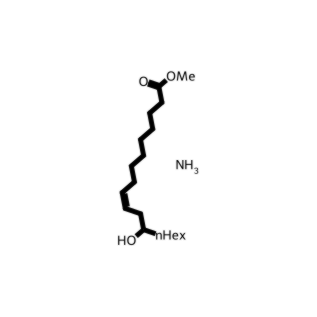 CCCCCCC(O)C/C=C\CCCCCCCC(=O)OC.N